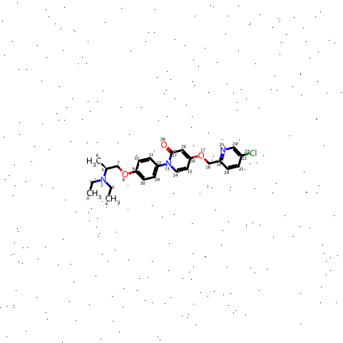 CCN(CC)[C@@H](C)COc1ccc(-n2ccc(OCc3ccc(Cl)cn3)cc2=O)cc1